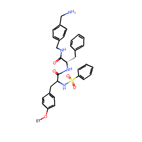 CCOc1ccc(CC(NS(=O)(=O)c2ccccc2)C(=O)N[C@@H](Cc2ccccc2)C(=O)NCc2ccc(CN)cc2)cc1